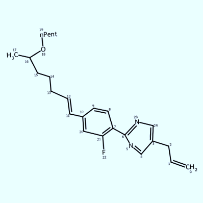 C=CCc1cnc(-c2ccc(C=CCCCC(C)OCCCCC)cc2F)nc1